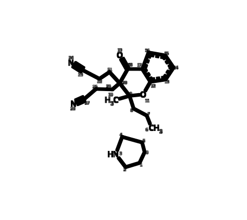 C1CCNCC1.CCCC1(C)Oc2ccccc2C(=O)C1(CCC#N)CCC#N